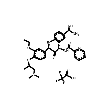 CCOc1cc(C(Nc2ccc(C(=N)N)cc2)C(=O)NNC(=O)c2ccccn2)ccc1OC(C)CN(C)C.O=C(O)C(F)(F)F